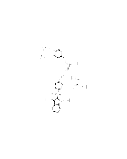 COc1ccc(CCN(C)CCCOc2ccc(S(=O)(=O)c3c(C(C)C)c4ccccc4n3C)cc2)cc1OC.O=C(O)C(=O)O